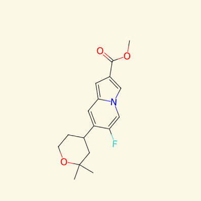 COC(=O)c1cc2cc(C3CCOC(C)(C)C3)c(F)cn2c1